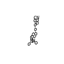 N#Cc1ccc2c3c(cccc13)Oc1cc(-c3ccc(-c4ccc5ccc6c(-c7nc(-c8ccccc8)cc(-c8ccccc8)n7)ccc7ccc4c5c76)cc3)ccc1-2